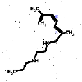 C=C(C)/C=C\C=C(/C)CNCCNCCC